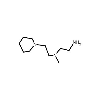 CN(CCN)CCN1CCCCC1